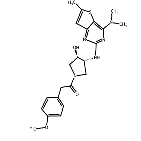 Cc1cc2nc(N[C@@H]3CN(C(=O)Cc4ccc(OC(F)(F)F)cc4)C[C@H]3O)nc(N(C)C)c2s1